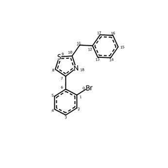 Brc1ccccc1-c1csc([CH]c2ccccc2)n1